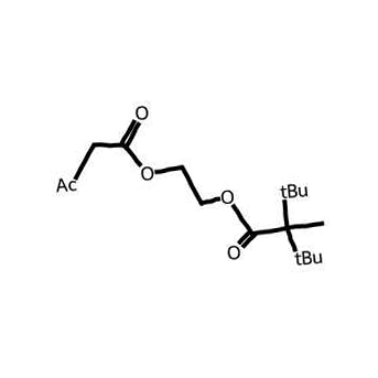 CC(=O)CC(=O)OCCOC(=O)C(C)(C(C)(C)C)C(C)(C)C